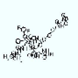 CC(C)(C)[C@H](c1cc(-c2cc(F)ccc2F)cn1Cc1ccccc1)N(CCCNC(=O)OCC[Si](C)(C)C)C(=O)CSC[C@@H](C(=O)O)N(C(=O)CCOCCOCCOCCOCCNC(=O)CCN1C(=O)C=CC1=O)C(=O)CC[C@H](N)C(=O)O